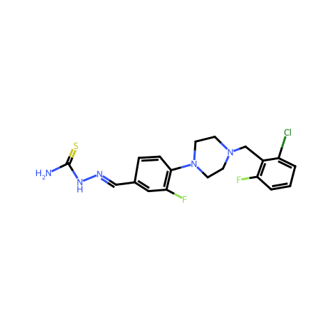 NC(=S)NN=Cc1ccc(N2CCN(Cc3c(F)cccc3Cl)CC2)c(F)c1